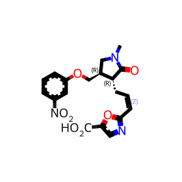 CN1C[C@H](COc2cccc([N+](=O)[O-])c2)[C@@H](C/C=C\c2ncc(C(=O)O)o2)C1=O